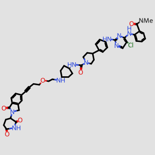 CNC(=O)c1ccccc1Nc1nc(Nc2ccc(C3CCN(C(=O)N[C@H]4CC[C@@H](NCCOCCC#Cc5ccc6c(c5)CN(C5CCC(=O)NC5=O)C6=O)CC4)CC3)cc2)ncc1Cl